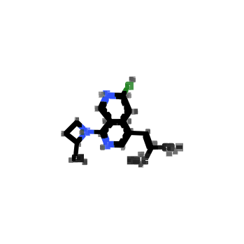 CC1CCN1c1ncc(C=C(C(=O)O)C(=O)O)c2cc(Cl)ncc12